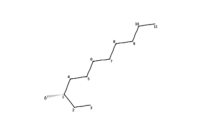 [CH2][C@@H](CC)CCCCCCCC